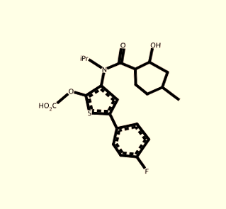 CC1CCC(C(=O)N(c2cc(-c3ccc(F)cc3)sc2OC(=O)O)C(C)C)C(O)C1